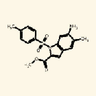 COC(=O)c1cc2cc(C)c(N)cc2n1S(=O)(=O)c1ccc(C)cc1